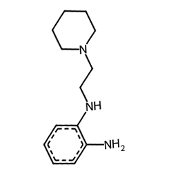 Nc1ccccc1NCCN1CCCCC1